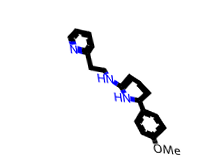 COc1ccc(C2C=C[C]=C(NCCc3ccccn3)N2)cc1